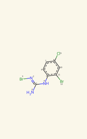 NC(=NBr)Nc1ccc(Cl)cc1Br